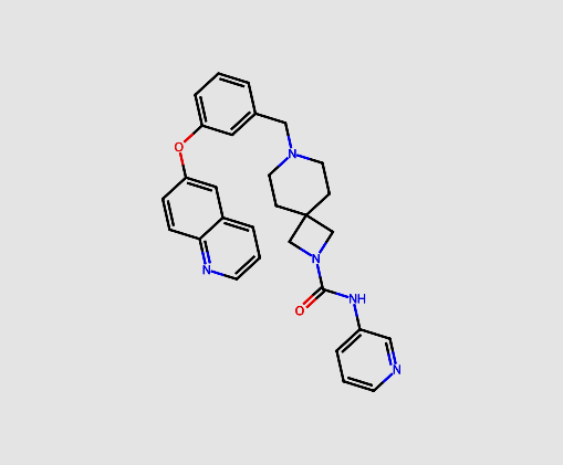 O=C(Nc1cccnc1)N1CC2(CCN(Cc3cccc(Oc4ccc5ncccc5c4)c3)CC2)C1